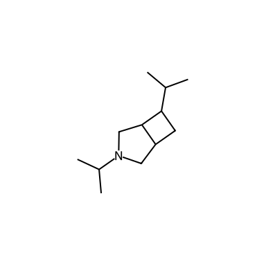 CC(C)C1CC2CN(C(C)C)CC21